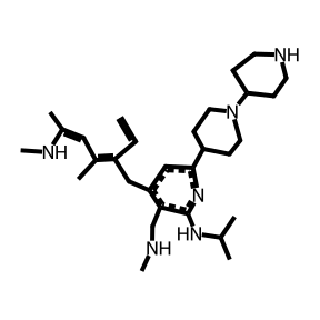 C=C/C(Cc1cc(C2CCN(C3CCNCC3)CC2)nc(NC(C)C)c1CNC)=C(C)\C=C(\C)NC